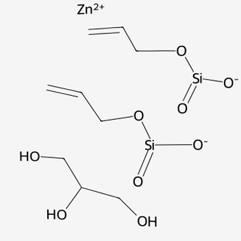 C=CCO[Si](=O)[O-].C=CCO[Si](=O)[O-].OCC(O)CO.[Zn+2]